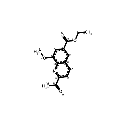 CCOC(=O)c1cc(OC)c2nc(C(C)=O)ccc2c1